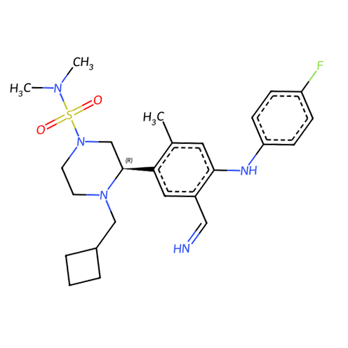 Cc1cc(Nc2ccc(F)cc2)c(C=N)cc1[C@@H]1CN(S(=O)(=O)N(C)C)CCN1CC1CCC1